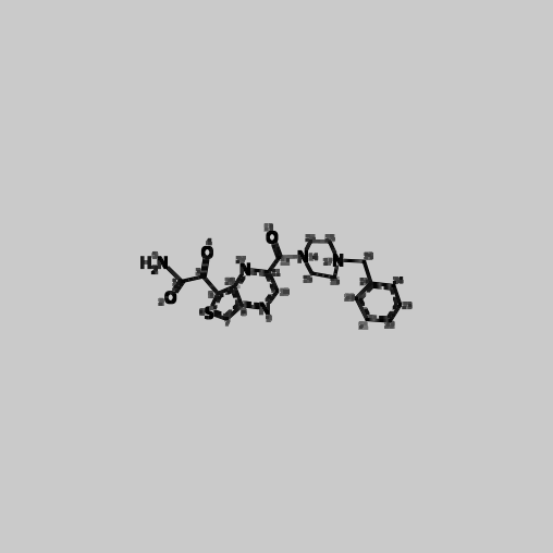 NC(=O)C(=O)c1scc2ncc(C(=O)N3CCN(Cc4ccccc4)CC3)nc12